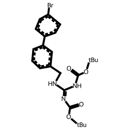 CC(C)(C)OC(=O)/N=C(/NCc1cccc(-c2ccc(Br)cc2)c1)NC(=O)OC(C)(C)C